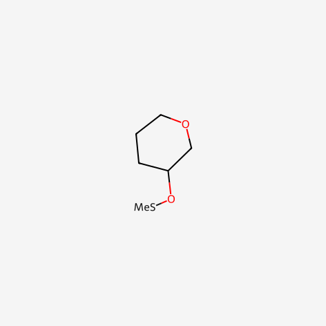 CSOC1CCCOC1